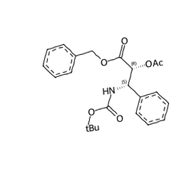 CC(=O)O[C@@H](C(=O)OCc1ccccc1)[C@@H](NC(=O)OC(C)(C)C)c1ccccc1